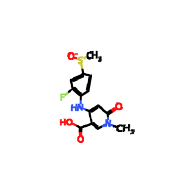 Cn1cc(C(=O)O)c(Nc2ccc([S+](C)[O-])cc2F)cc1=O